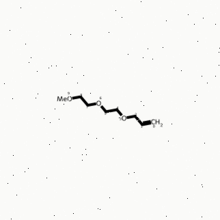 C=CCOCCOCCOC